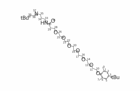 Cc1cc(C(C)(C)C)cc(C)c1OCCOCCOCCOCCOCCOCCOCCC(=O)NCCCN(C)CCC(C)(C)C